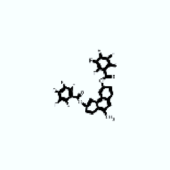 Cc1cc2ccc(OC(=O)c3c(F)c(F)c(F)c(F)c3F)cc2c2cc(OC(=O)c3c(F)c(F)c(F)c(F)c3F)ccc12